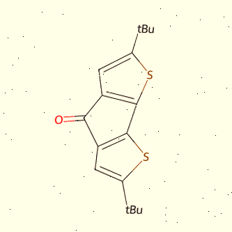 CC(C)(C)c1cc2c(s1)-c1sc(C(C)(C)C)cc1C2=O